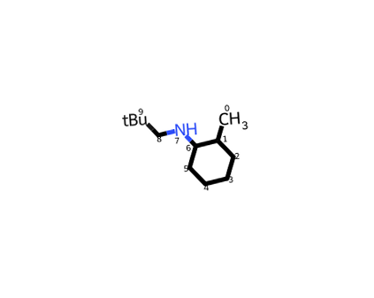 CC1CCCCC1NCC(C)(C)C